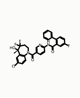 C[C@]1(O)c2cc(Cl)ccc2N(C(=O)c2ccc(NC(=O)c3cc(F)ccc3-c3ccccc3)nc2)CCC1(F)F